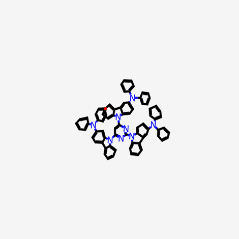 c1ccc(N(c2ccccc2)c2ccc3c(c2)c2ccccc2n3-c2cc(-n3c4ccccc4c4ccc(N(c5ccccc5)c5ccccc5)cc43)nc(-n3c4ccccc4c4cc(N(c5ccccc5)c5ccccc5)ccc43)n2)cc1